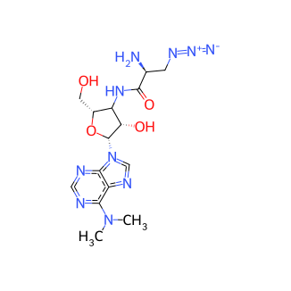 CN(C)c1ncnc2c1ncn2[C@@H]1O[C@H](CO)C(NC(=O)[C@@H](N)CN=[N+]=[N-])[C@@H]1O